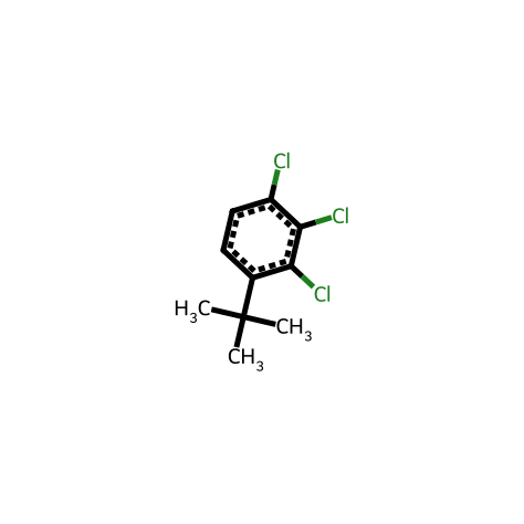 CC(C)(C)c1ccc(Cl)c(Cl)c1Cl